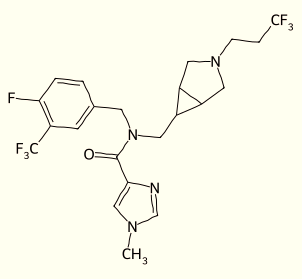 Cn1cnc(C(=O)N(Cc2ccc(F)c(C(F)(F)F)c2)CC2C3CN(CCC(F)(F)F)CC32)c1